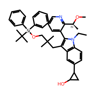 CCn1c(-c2cccnc2[C@H](C)OC)c(CC(C)(C)CO[Si](c2ccccc2)(c2ccccc2)C(C)(C)C)c2cc(C3CC3O)ccc21